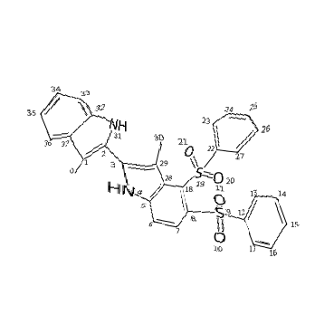 Cc1c(-c2[nH]c3ccc(S(=O)(=O)c4ccccc4)c(S(=O)(=O)c4ccccc4)c3c2C)[nH]c2ccccc12